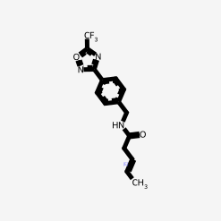 C/C=C/CC(=O)NCc1ccc(-c2noc(C(F)(F)F)n2)cc1